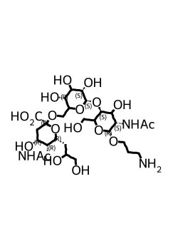 CC(=O)N[C@@H]1[C@H](O)C[C@](OCC2O[C@@H](O[C@@H]3C(CO)O[C@@H](OCCCN)[C@@H](NC(C)=O)C3O)[C@@H](O)C(O)[C@H]2O)(C(=O)O)O[C@@H]1CC(O)CO